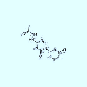 CC(=O)NNc1ncn(-c2cccc(Cl)c2)c(=O)n1